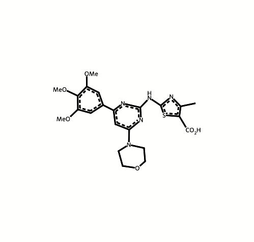 COc1cc(-c2cc(N3CCOCC3)nc(Nc3nc(C)c(C(=O)O)s3)n2)cc(OC)c1OC